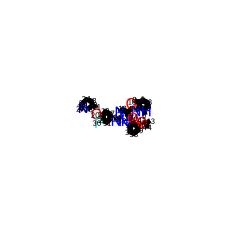 Cc1cccc(C)c1NC(=O)c1cnc(Nc2ccc(OCC3CCCN(C)C3)c(F)c2)nc1Oc1ccccc1OC(C)C